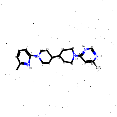 Cc1cccc(N2CCC(C3CCN(c4cc(C#N)ncn4)CC3)CC2)n1